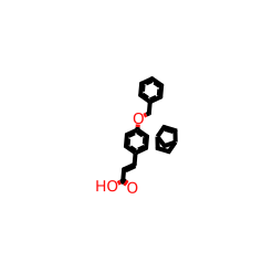 C1=CC2CCC1C2.O=C(O)C=Cc1ccc(OCc2ccccc2)cc1